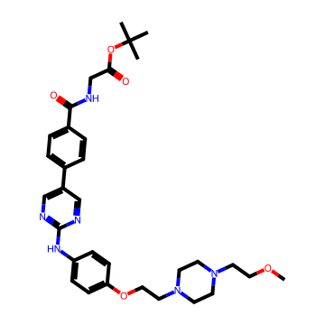 COCCN1CCN(CCOc2ccc(Nc3ncc(-c4ccc(C(=O)NCC(=O)OC(C)(C)C)cc4)cn3)cc2)CC1